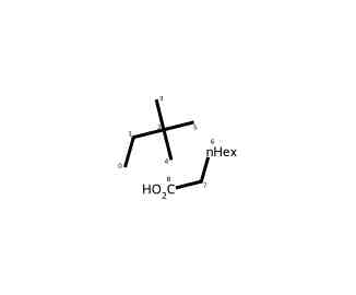 CCC(C)(C)C.CCCCCCCC(=O)O